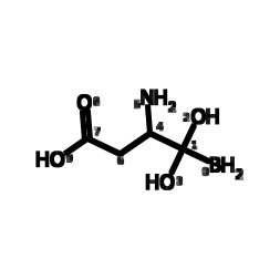 BC(O)(O)C(N)CC(=O)O